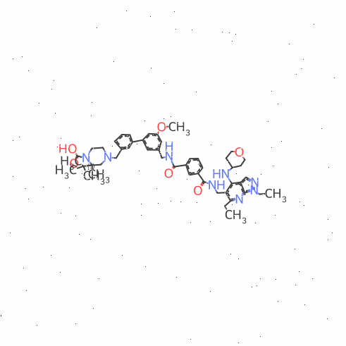 CCc1nc2c(cnn2CC)c(NC2CCOCC2)c1CNC(=O)c1cccc(C(=O)NCc2cc(OC)cc(-c3cccc(CN4CCN(C(=O)O)[C@@](C)(C(C)(C)C)C4)c3)c2)c1